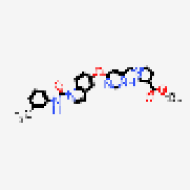 CC(C)(C)OC(=O)C1CCN(CC2=CC(Oc3ccc4c(ccn4C(=O)Nc4cccc(C(F)(F)F)c4)c3)=NCN2)C1